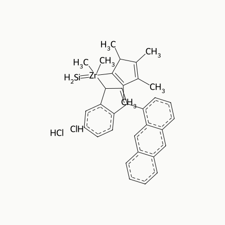 CC1=C(C)C(C)[C]([Zr]([CH3])([CH3])(=[SiH2])[CH]2C=C(c3cccc4cc5ccccc5cc34)c3ccccc32)=C1C.Cl.Cl